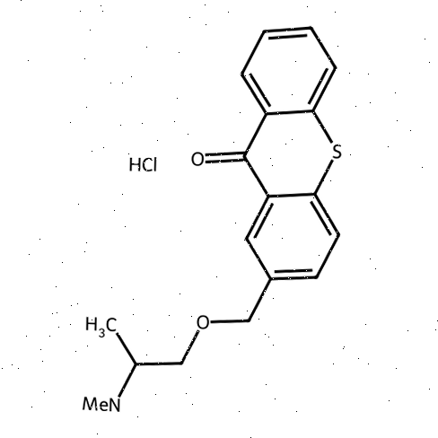 CNC(C)COCc1ccc2sc3ccccc3c(=O)c2c1.Cl